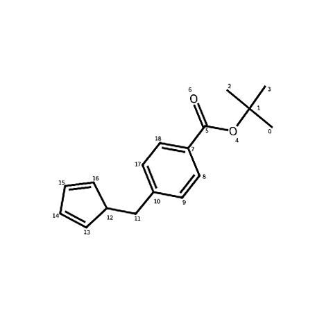 CC(C)(C)OC(=O)c1ccc(CC2C=CC=C2)cc1